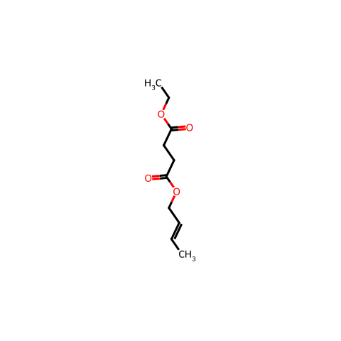 CC=CCOC(=O)CCC(=O)OCC